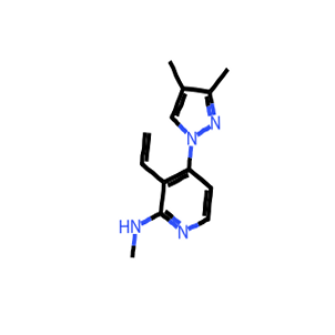 C=Cc1c(-n2cc(C)c(C)n2)ccnc1NC